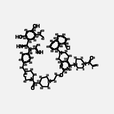 C=CC(=O)N1CCN(c2nc(OCCN3CCC(C(=O)N4CCC(Cc5ccc(N(C(C)=N)C(=N)c6cc(C(C)C)c(O)cc6O)cc5)CC4)CC3)nc3c2CCN(c2cccc4cccc(Cl)c24)C3)CC1